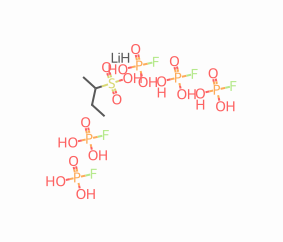 CCC(C)S(=O)(=O)O.O=P(O)(O)F.O=P(O)(O)F.O=P(O)(O)F.O=P(O)(O)F.O=P(O)(O)F.[LiH]